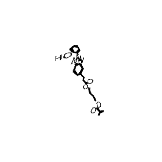 C=C(C)C(=O)OCCCCOC(=O)CCc1ccc2nn(-c3ccccc3O)nc2c1